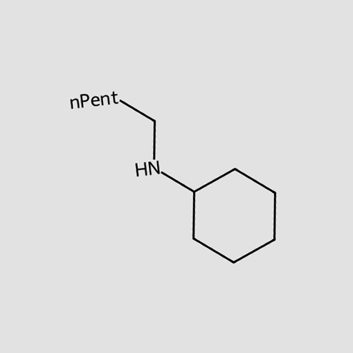 [CH2]CCCCCNC1CCCCC1